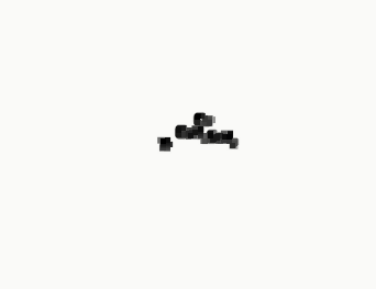 [Cu].[GaH3].[SeH2].[Tl]